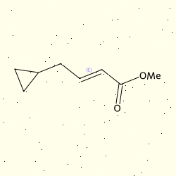 COC(=O)/C=C/CC1CC1